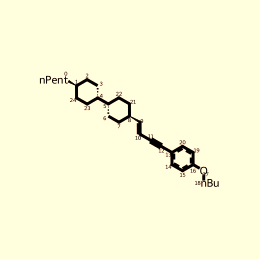 CCCCC[C@H]1CC[C@H]([C@H]2CC[C@H](C=CC#Cc3ccc(OCCCC)cc3)CC2)CC1